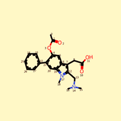 CC(=O)Oc1cc2c(CC(=O)O)c(CN(C)C)n(C)c2cc1-c1ccccc1